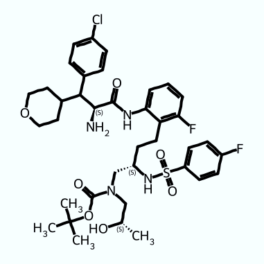 C[C@H](O)CN(C[C@H](CCc1c(F)cccc1NC(=O)[C@@H](N)C(c1ccc(Cl)cc1)C1CCOCC1)NS(=O)(=O)c1ccc(F)cc1)C(=O)OC(C)(C)C